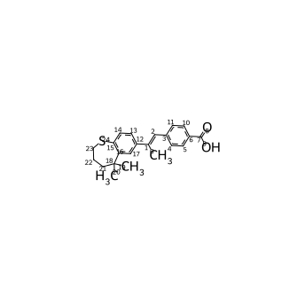 C/C(=C\c1ccc(C(=O)O)cc1)c1ccc2c(c1)C(C)(C)CCCS2